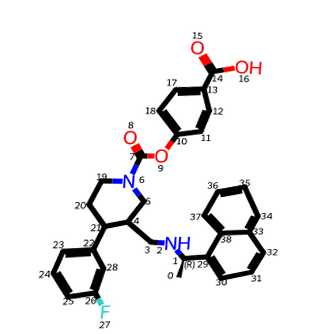 C[C@@H](NCC1CN(C(=O)Oc2ccc(C(=O)O)cc2)CCC1c1cccc(F)c1)c1cccc2ccccc12